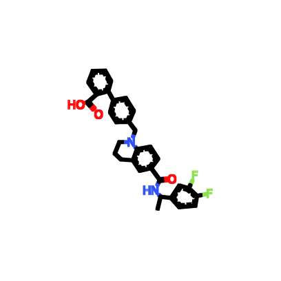 CC(NC(=O)c1ccc2c(c1)CCCN2Cc1ccc(-c2ccccc2C(=O)O)cc1)c1ccc(F)c(F)c1